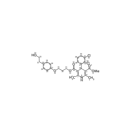 COC(=O)C1=C(C)NC(C)=C(C(=O)OCCCOc2ccc(CCO)cc2)C1c1cccc(Cl)c1Cl